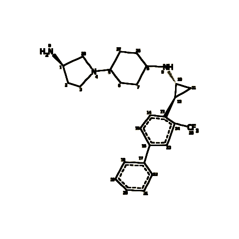 N[C@@H]1CCN(C2CCC(N[C@@H]3C[C@H]3c3ccc(-c4ccccc4)cc3C(F)(F)F)CC2)C1